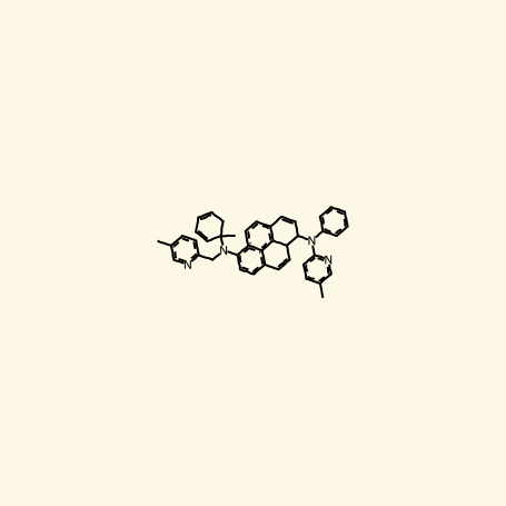 Cc1ccc(CN(c2ccc3c4c5c(ccc24)C=CC(N(c2ccccc2)c2ccc(C)cn2)C5C=C3)C2(C)C=CC=CC2)nc1